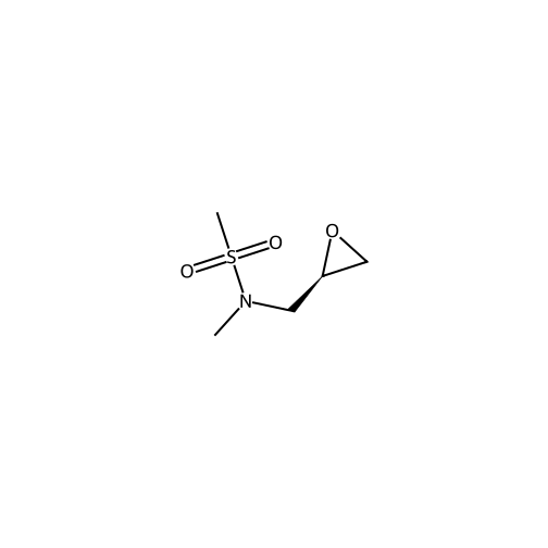 CN(C[C@@H]1CO1)S(C)(=O)=O